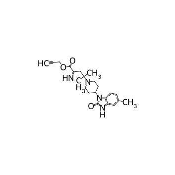 C#CCOC(=O)C(=N)CC(C)(C)N1CCC(n2c(=O)[nH]c3cc(C)ccc32)CC1